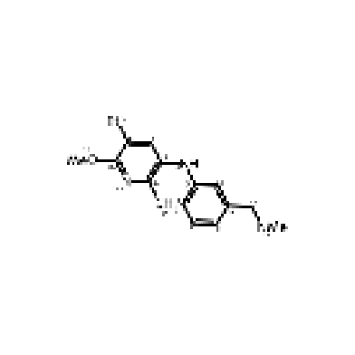 CCc1cc(Nc2cccc(CNC)c2)c(C)nc1OC